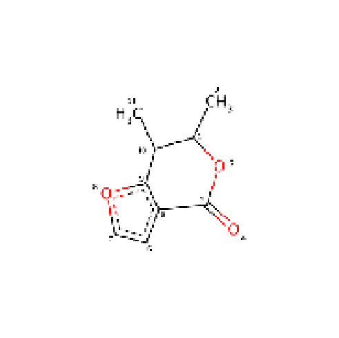 CC1OC(=O)c2ccoc2C1C